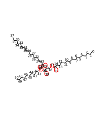 CCCCCCCCCCCCCCCC(=O)OCC(OC(=O)CCCCCCCCCCCCCCC)C(=O)OCCCCCCCCCC